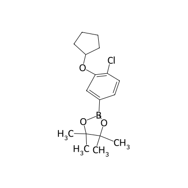 CC1(C)OB(c2ccc(Cl)c(OC3CCCC3)c2)OC1(C)C